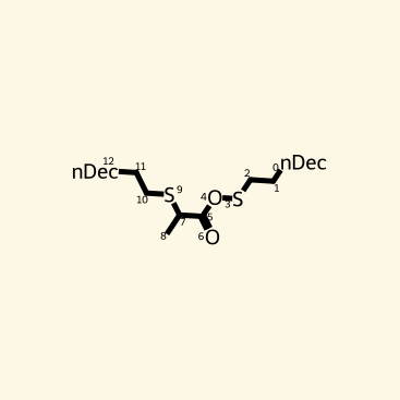 CCCCCCCCCCCCSOC(=O)C(C)SCCCCCCCCCCCC